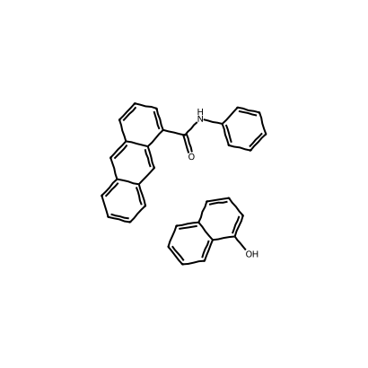 O=C(Nc1ccccc1)c1cccc2cc3ccccc3cc12.Oc1cccc2ccccc12